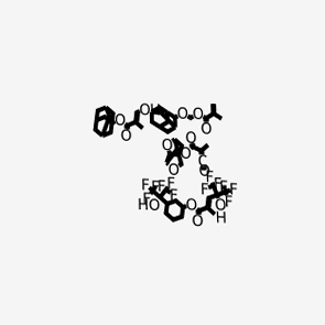 C=C(C)C(=O)OCOC1C2CC3CC(C2)CC1C3.CC(=C=O)C(=O)OC1C2CC3COC1C3O2.CC(=CC(O)(C(F)(F)F)C(F)(F)F)C(=O)OC1CCCC(C(O)(C(F)(F)F)C(F)(F)F)C1.CC(=CO)C(=O)OC12CC3CC(CC(C3)C1)C2